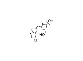 CC(C)(O)c1cc(CO)cc(Cc2ccc3ncc(Cl)cc3c2)n1